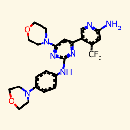 Nc1cc(C(F)(F)F)c(-c2cc(N3CCOCC3)nc(Nc3ccc(N4CCOCC4)cc3)n2)cn1